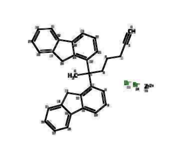 C#CCCCC(C)(c1cccc2c1Cc1ccccc1-2)c1cccc2c1Cc1ccccc1-2.[Br-].[Br-].[Zr+2]